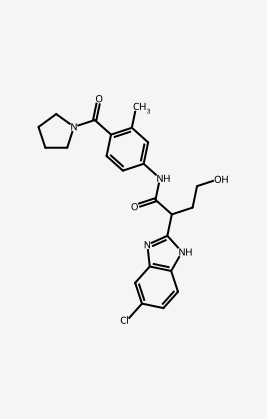 Cc1cc(NC(=O)C(CCO)c2nc3cc(Cl)ccc3[nH]2)ccc1C(=O)N1CCCC1